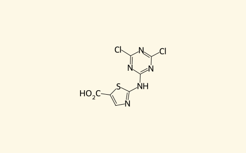 O=C(O)c1cnc(Nc2nc(Cl)nc(Cl)n2)s1